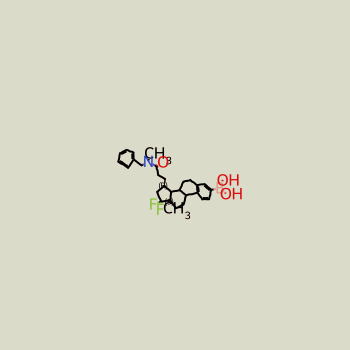 CN(Cc1ccccc1)C(=O)CC[C@@H]1CC(F)(F)[C@@]2(C)CCC3c4ccc(B(O)O)cc4CCC3C12